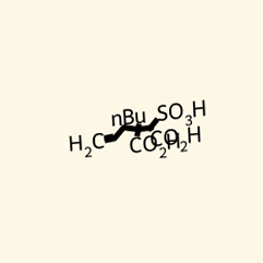 C=CCC(CCCC)(C(=O)O)C(C(=O)O)S(=O)(=O)O